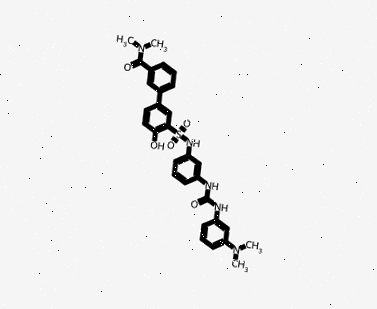 CN(C)C(=O)c1cccc(-c2ccc(O)c(S(=O)(=O)Nc3cccc(NC(=O)Nc4cccc(N(C)C)c4)c3)c2)c1